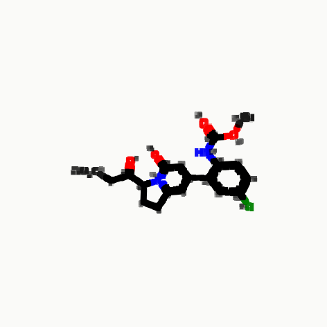 CCOC(=O)CC(=O)C1CCc2cc(-c3cc(Cl)ccc3NC(=O)OC(C)(C)C)cc(=O)n21